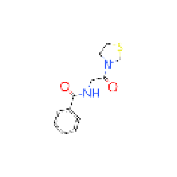 O=C(NCC(=O)N1CCSC1)c1ccccc1